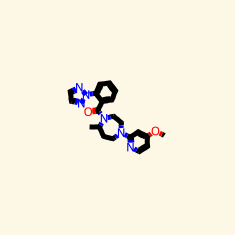 COc1ccnc(N2CCC(C)N(C(=O)c3ccccc3-n3nccn3)CC2)c1